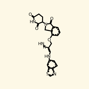 N=N/C(=C\Nc1ccc2ncsc2c1)COc1cccc2c1CN(C1CCC(=O)NC1=O)C2=O